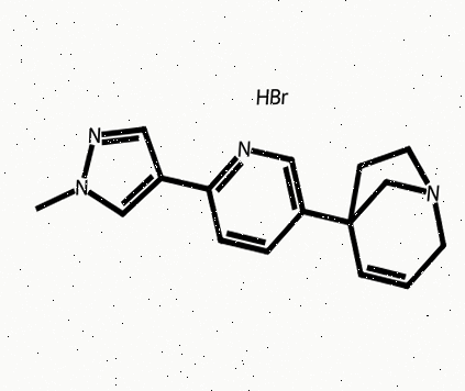 Br.Cn1cc(-c2ccc(C34C=CCN(CC3)C4)cn2)cn1